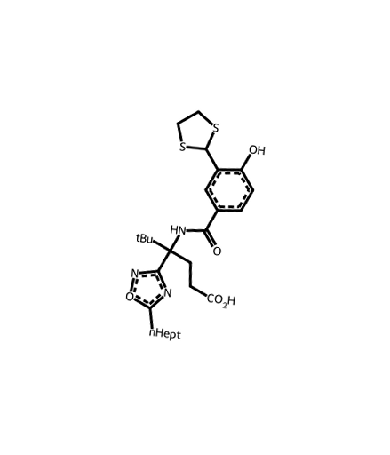 CCCCCCCc1nc(C(CCC(=O)O)(NC(=O)c2ccc(O)c(C3SCCS3)c2)C(C)(C)C)no1